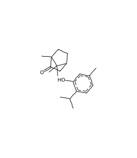 CC12CCC(CC1=O)C2(C)C.Cc1ccc(C(C)C)c(O)c1